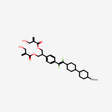 C=C(CO)C(=O)OCC(COC(=O)C(=C)CO)c1ccc(/C(F)=C(\F)C2CCC(C3CCC(CCCCC)CC3)CC2)cc1